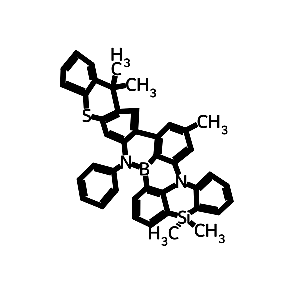 Cc1cc2c3c(c1)N1c4ccccc4[Si](C)(C)c4cccc(c41)B3N(c1ccccc1)c1cc3c(cc1-2)C(C)(C)c1ccccc1S3